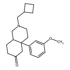 COc1cccc(C23CCN(CC4CCC4)CC2CCC(=O)C3)c1